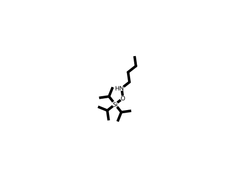 CCCCNO[Si](C(C)C)(C(C)C)C(C)C